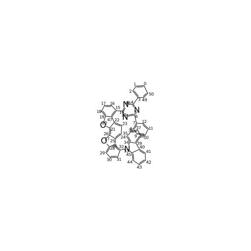 c1ccc(-c2nc(-c3ccccc3)nc(-c3cccc4oc5c(ccc6c5oc5cccc(-n7c8ccccc8c8ccccc87)c56)c34)n2)cc1